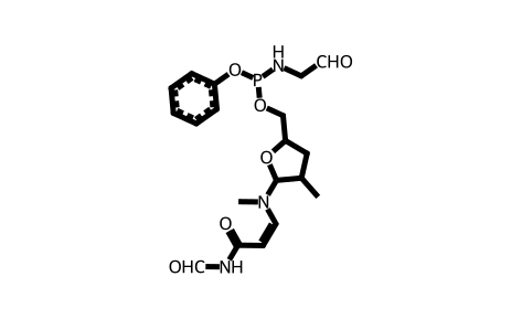 CC1CC(COP(NCC=O)Oc2ccccc2)OC1N(C)/C=C\C(=O)NC=O